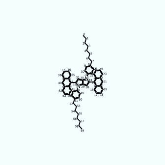 CCCCCCCCc1ccc(-n2c(-c3c4ccccc4cc4ccccc34)cc3c2cc(-c2c4ccccc4cc4ccccc24)n3-c2ccc(CCCCCCCC)cc2)cc1